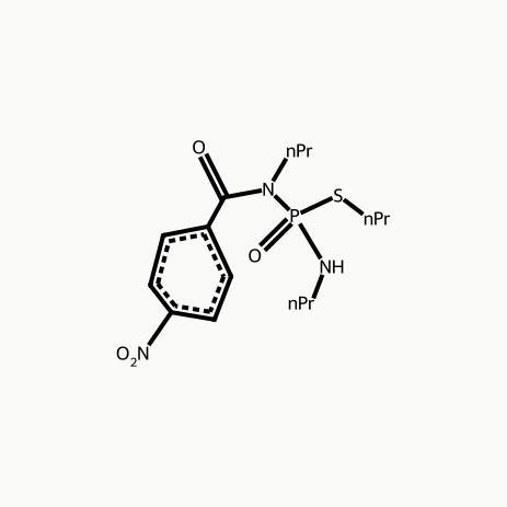 CCCNP(=O)(SCCC)N(CCC)C(=O)c1ccc([N+](=O)[O-])cc1